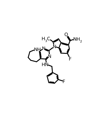 Cc1cc2c(C(N)=O)cc(F)cc2n1-c1nc2c(c(NCc3cccc(F)c3)n1)CCCCN2